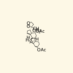 CC(=O)OC1=CC2=CC[C@H]3C4=CC[C@H](C5(C)CCOO5)[C@@]4(C)[C@H](OC(C)=O)C[C@@H]3[C@@]2(C)CC1